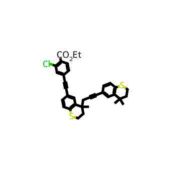 CCOC(=O)c1ccc(C#Cc2ccc3c(c2)C(C)(CC#Cc2ccc4c(c2)C(C)(C)CCS4)CCS3)cc1Cl